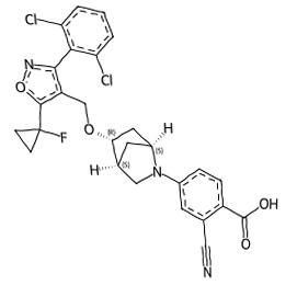 N#Cc1cc(N2C[C@@H]3C[C@H]2C[C@H]3OCc2c(-c3c(Cl)cccc3Cl)noc2C2(F)CC2)ccc1C(=O)O